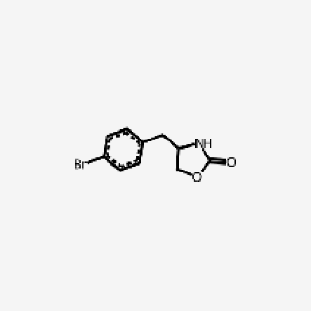 O=C1NC(Cc2ccc(Br)cc2)CO1